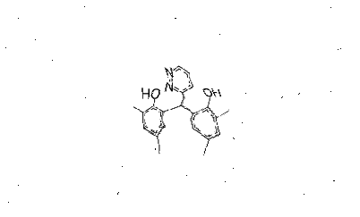 Cc1cc(C)c(O)c(C(c2cccnn2)c2cc(C)cc(C)c2O)c1